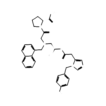 CC[C@H](C)[C@@H](CN(CC(=O)N1CCC[C@@H]1C(=O)OC)Cc1cccc2ccccc12)NC(=O)Cc1cncn1Cc1ccc(C#N)cc1